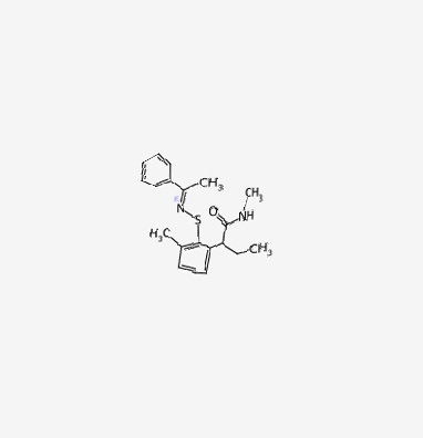 CCC(C(=O)NC)c1cccc(C)c1S/N=C(\C)c1ccccc1